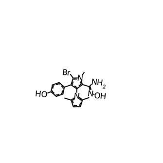 Cc1ccc(C)n1-c1c(-c2ccc(O)cc2)c(Br)n(C)c1C(N)=NO